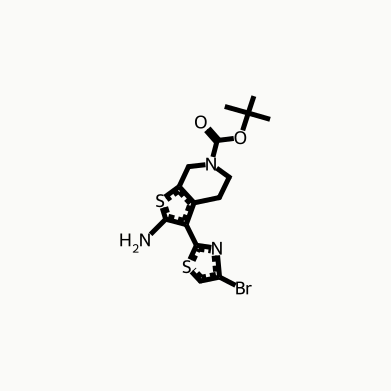 CC(C)(C)OC(=O)N1CCc2c(sc(N)c2-c2nc(Br)cs2)C1